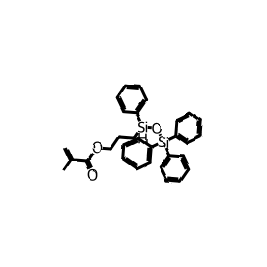 C=C(C)C(=O)OCCC[SiH](O[Si](c1ccccc1)(c1ccccc1)c1ccccc1)c1ccccc1